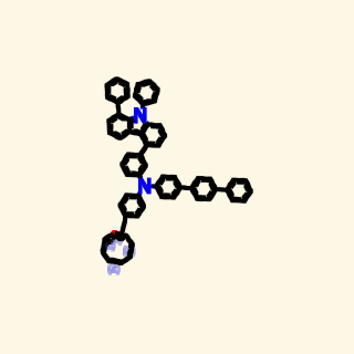 C1=C2/C=C\C=C/C(C1)/C(c1ccc(N(c3ccc(-c4ccc(-c5ccccc5)cc4)cc3)c3cccc(-c4cccc5c4c4cccc(-c6ccccc6)c4n5-c4ccccc4)c3)cc1)=C\C=C\2